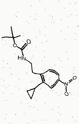 CC(C)(C)OC(=O)NCCc1ccc([N+](=O)[O-])cc1C1CC1